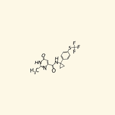 Cc1nc(C(=O)NC2(c3ccc(SC(F)(F)F)cc3)CC2)cc(=O)[nH]1